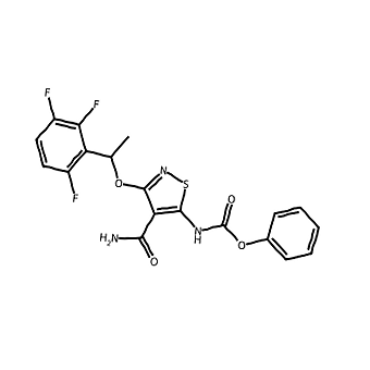 CC(Oc1nsc(NC(=O)Oc2ccccc2)c1C(N)=O)c1c(F)ccc(F)c1F